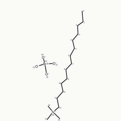 CCCCCCCCCCCCCC[N+](C)(C)C.[O-][Br+3]([O-])([O-])[O-]